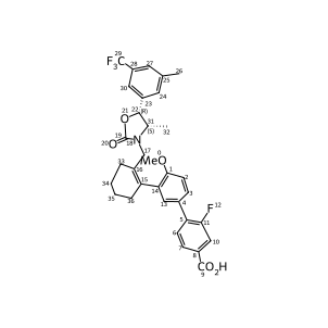 COc1ccc(-c2ccc(C(=O)O)cc2F)cc1C1=C(CN2C(=O)O[C@H](c3cc(C)cc(C(F)(F)F)c3)[C@@H]2C)CCCC1